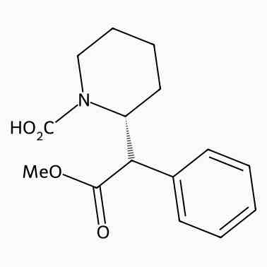 COC(=O)C(c1ccccc1)[C@H]1CCCCN1C(=O)O